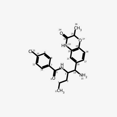 CCCC(NC(=O)c1ccc(Cl)cc1)C(N)c1ccc2c(c1)NC(=O)C(C)O2